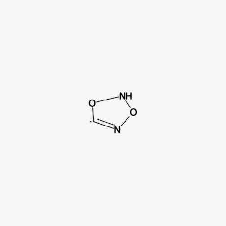 [C]1=NONO1